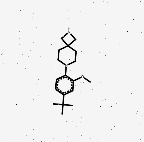 COc1cc(C(C)(C)C)ccc1N1CCC2(CC1)CNC2